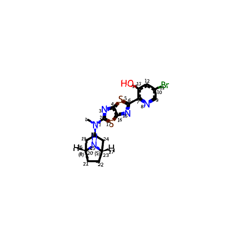 CN(c1nc2sc(-c3ncc(Br)cc3O)nc2s1)[C@@H]1C[C@H]2CC[C@@H](C1)N2